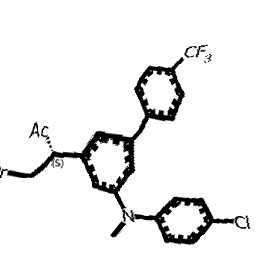 CC(=O)[C@@H](CC(C)C)c1cc(-c2ccc(C(F)(F)F)cc2)cc(N(C)c2ccc(Cl)cc2)c1